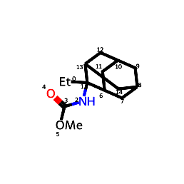 CCC1(NC(=O)OC)C2CC3CC(C2)CC1C3